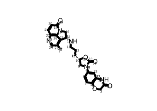 O=C1COc2ccc(N3C[C@H](CCCN[C@H]4Cn5c(=O)ccc6ncc(F)c4c65)OC3=O)cc2N1